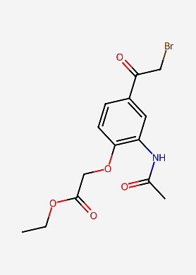 CCOC(=O)COc1ccc(C(=O)CBr)cc1NC(C)=O